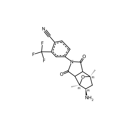 C[C@]12C[C@@H](N)[C@](C)(O1)C1C(=O)N(c3ccc(C#N)c(C(F)(F)F)c3)C(=O)C12